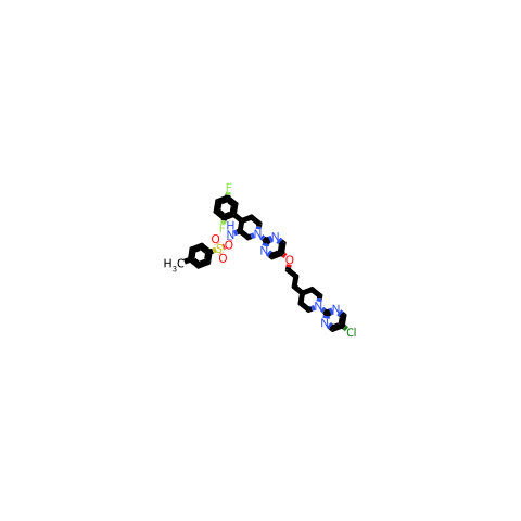 Cc1ccc(S(=O)(=O)ONC2CN(c3ncc(OCCCC4CCN(c5ncc(Cl)cn5)CC4)cn3)CCC2c2cc(F)ccc2F)cc1